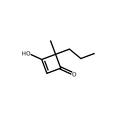 CCCC1(C)C(=O)C=C1O